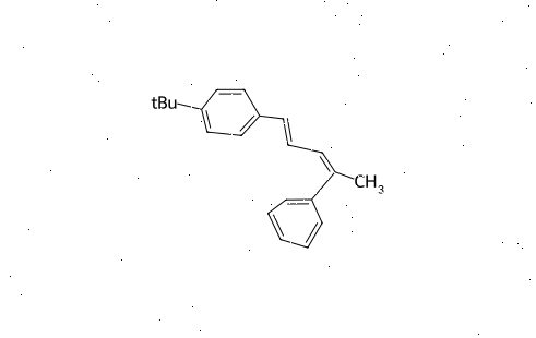 CC(=CC=Cc1ccc(C(C)(C)C)cc1)c1ccccc1